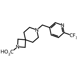 O=C(O)N1CC2(CCN(Cc3ccc(C(F)(F)F)nc3)CC2)C1